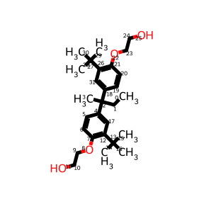 CCC(C)(c1ccc(OCCO)c(C(C)(C)C)c1)c1ccc(OCCO)c(C(C)(C)C)c1